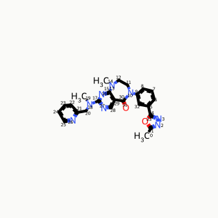 Cc1nnc(-c2cccc(N3CCN(C)c4nc(N(C)Cc5ccccn5)ncc4C3=O)c2)o1